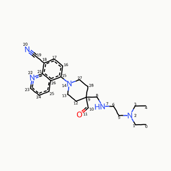 CCN(CC)CCNCC1(C=O)CCN(c2ccc(C#N)c3ncccc23)CC1